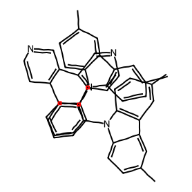 Cc1ccc2c(c1)c1cc(C)ccc1n2-c1ccccc1-c1ccncc1-c1cnccc1-c1ccccc1-n1c2ccc(C)cc2c2cc(C)ccc21